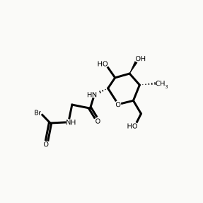 C[C@@H]1C(CO)O[C@H](NC(=O)CNC(=O)Br)C(O)[C@H]1O